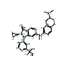 CN(C)C1CCc2ccc(Nc3cc4c(cn3)c(=O)n(C3CC3)n4-c3ccnc(C(C)(C)F)c3)cc2C1